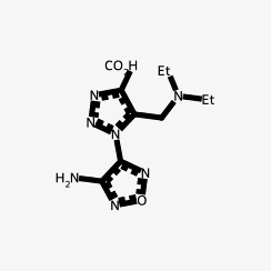 CCN(CC)Cc1c(C(=O)O)nnn1-c1nonc1N